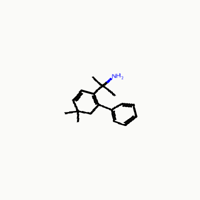 CC1(C)C=CC(C(C)(C)N)=C(c2ccccc2)C1